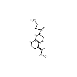 CCCN(C)C1CCC2=C(CCCC2=NOC)C1